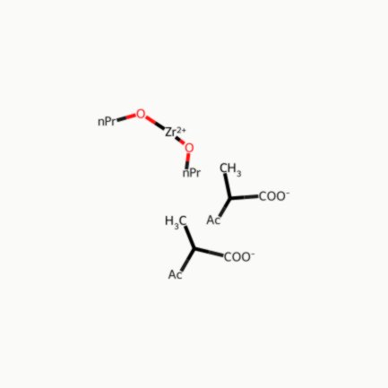 CC(=O)C(C)C(=O)[O-].CC(=O)C(C)C(=O)[O-].CCC[O][Zr+2][O]CCC